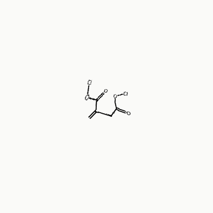 C=C(CC(=O)OCl)C(=O)OCl